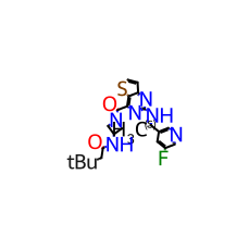 C[C@H](Nc1nc(C(=O)N2CC(NC(=O)CC(C)(C)C)C2)c2sccc2n1)c1cncc(F)c1